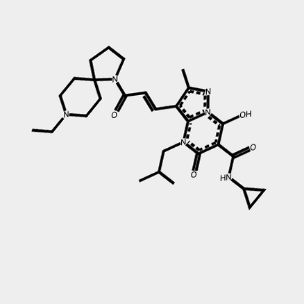 CCN1CCC2(CCCN2C(=O)C=Cc2c(C)nn3c(O)c(C(=O)NC4CC4)c(=O)n(CC(C)C)c23)CC1